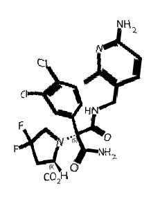 Cc1nc(N)ccc1CNC(=O)[C@@](C(N)=O)(c1ccc(Cl)c(Cl)c1)N1CC(F)(F)C[C@@H]1C(=O)O